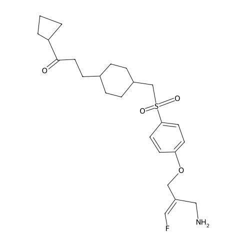 NC/C(=C\F)COc1ccc(S(=O)(=O)CC2CCC(CCC(=O)C3CCC3)CC2)cc1